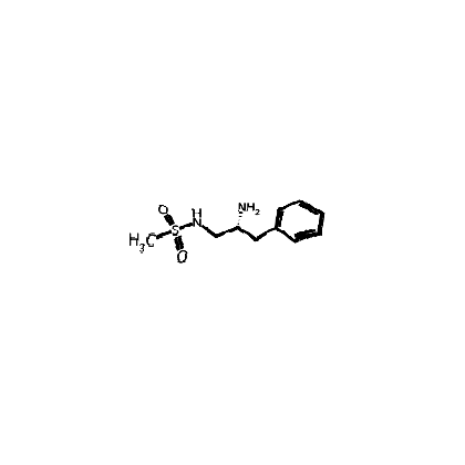 CS(=O)(=O)NC[C@H](N)Cc1ccccc1